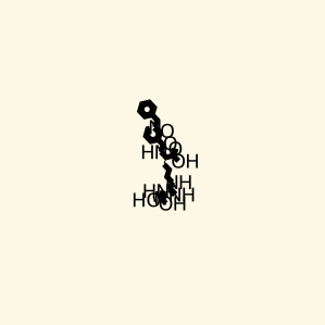 N=C(NCCC[C@H](NC(=O)c1cccn(Cc2ccccc2)c1=O)C(=O)O)NN(O)O